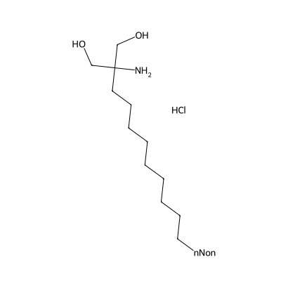 CCCCCCCCCCCCCCCCCCC(N)(CO)CO.Cl